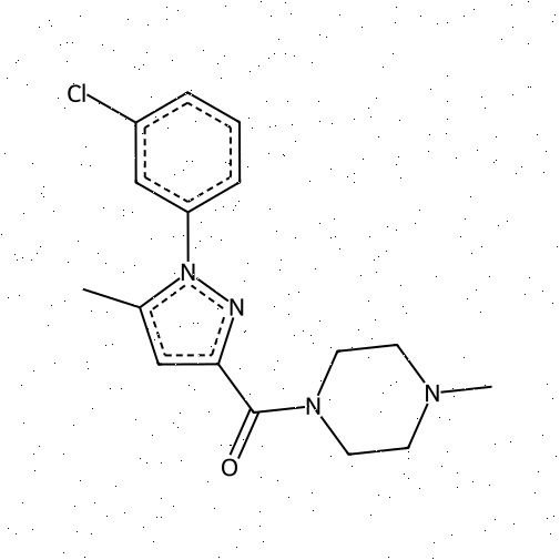 Cc1cc(C(=O)N2CCN(C)CC2)nn1-c1cccc(Cl)c1